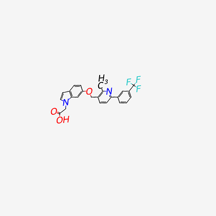 Cc1nc(-c2cccc(C(F)(F)F)c2)ccc1COc1ccc2ccn(CC(=O)O)c2c1